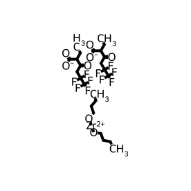 CCC(C(=O)[O-])C(=O)CC(F)(F)C(F)(F)F.CCC(C(=O)[O-])C(=O)CC(F)(F)C(F)(F)F.CCCC[O][Zr+2][O]CCCC